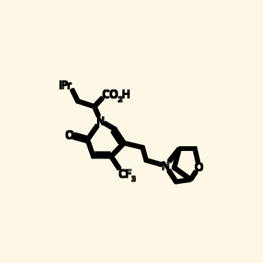 CC(C)CC(C(=O)O)n1cc(CCN2CC3CC2CO3)c(C(F)(F)F)cc1=O